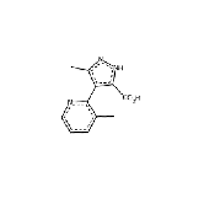 Cc1cccnc1-c1c(C)n[nH]c1C(=O)O